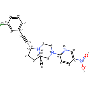 O=[N+]([O-])c1ccc(N2CCN3[C@@H](CC[C@@H]3C#Cc3cccc(Cl)c3)C2)nc1